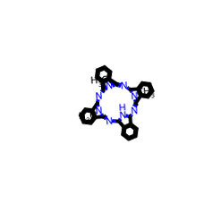 CN1/C2=N\C3NC(/N=C4/c5ccccc5C(/N=c5/c6ccccc6/c(n5C)=N/C1c1ccccc12)N4C)c1ccccc13